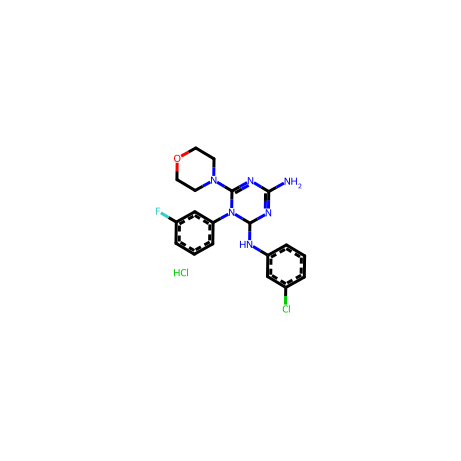 Cl.NC1=NC(Nc2cccc(Cl)c2)N(c2cccc(F)c2)C(N2CCOCC2)=N1